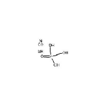 O=P(O)(O)O.[Co].[LiH].[Ni]